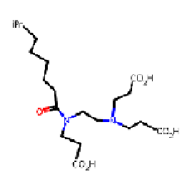 CC(C)CCCCCC(=O)N(CCC(=O)O)CCN(CCC(=O)O)CCC(=O)O